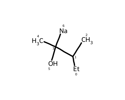 CCC(C)[C](C)(O)[Na]